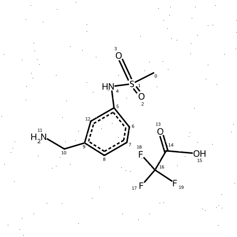 CS(=O)(=O)Nc1cccc(CN)c1.O=C(O)C(F)(F)F